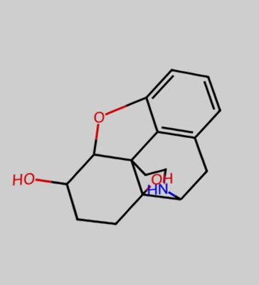 OC1CCC2(O)C3Cc4cccc5c4C2(CCN3)C1O5